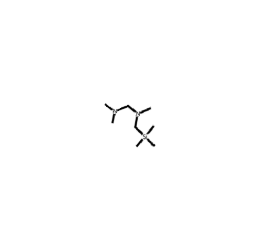 CN(C)CN(C)C[Si](C)(C)C